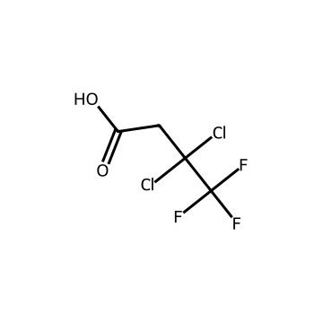 O=C(O)CC(Cl)(Cl)C(F)(F)F